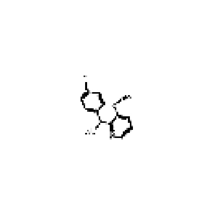 CCCOc1cccnc1C(C#N)c1ccc(F)cc1